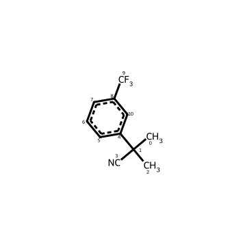 CC(C)(C#N)c1cccc(C(F)(F)F)c1